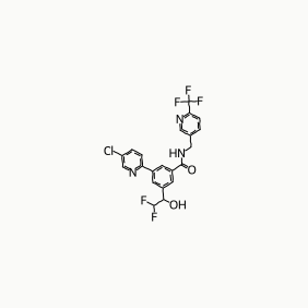 O=C(NCc1ccc(C(F)(F)F)nc1)c1cc(-c2ccc(Cl)cn2)cc(C(O)C(F)F)c1